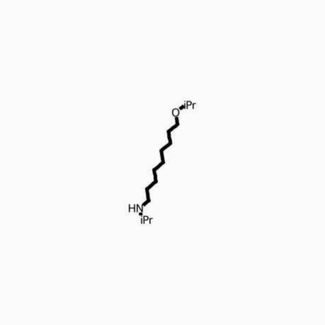 CC(C)NCCCCCCCCCOC(C)C